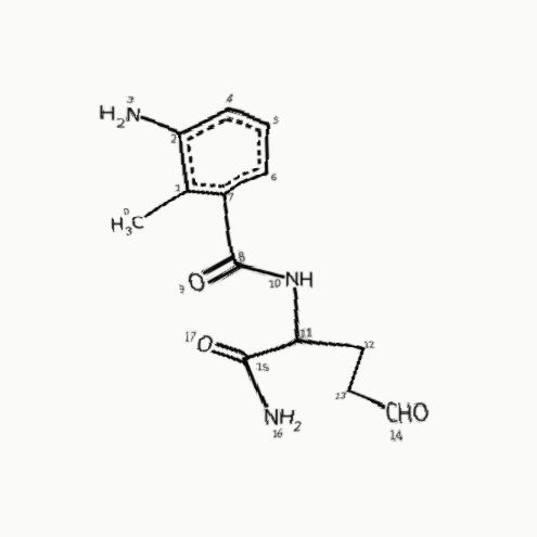 Cc1c(N)cccc1C(=O)NC(CCC=O)C(N)=O